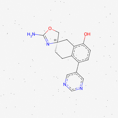 NC1=N[C@@]2(CCc3c(-c4cncnc4)ccc(O)c3C2)CO1